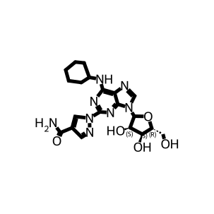 NC(=O)c1cnn(-c2nc(NC3CCCCC3)c3ncn(C4O[C@H](CO)[C@@H](O)[C@@H]4O)c3n2)c1